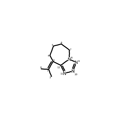 CC(C)=C1CCCCn2nnnc21